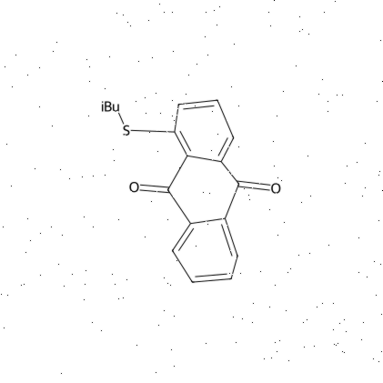 CCC(C)Sc1cccc2c1C(=O)c1ccccc1C2=O